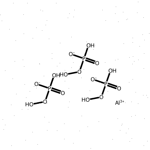 O=P([O-])(O)OO.O=P([O-])(O)OO.O=P([O-])(O)OO.[Al+3]